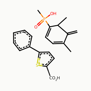 C=C1C(C)=CC=C(P(C)(=O)O)C1C.O=C(O)c1ccc(-c2ccccc2)s1